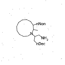 CCCCCCCCCCCC(CN)N1CCCCCCCCCC(CCCCCCCCC)C1C